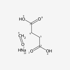 C=O.O=C(O)CCC(=O)O.[NaH]